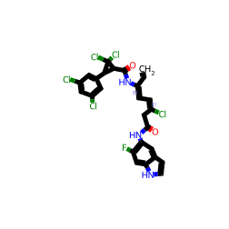 C=C/C(=C\C=C(\Cl)CC(=O)Nc1cc2cc[nH]c2cc1F)NC(=O)C1C(c2cc(Cl)cc(Cl)c2)C1(Cl)Cl